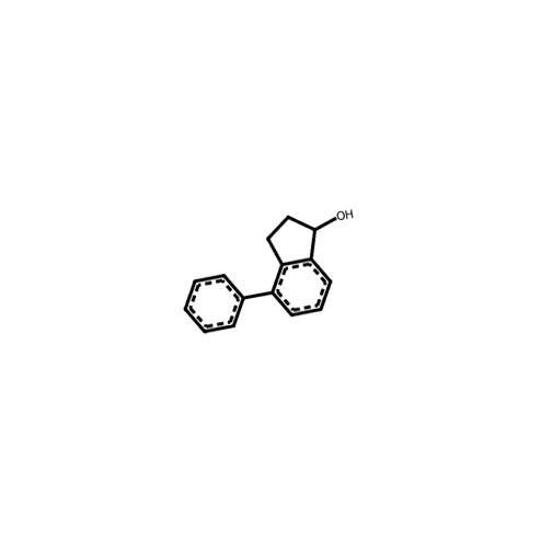 OC1CCc2c(-c3ccccc3)cccc21